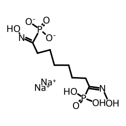 O=P([O-])([O-])C(CCCCCCC(=NO)P(=O)(O)O)=NO.[Na+].[Na+]